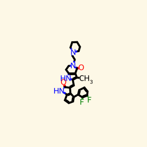 Cc1c(C=C2C(=O)Nc3cccc(-c4cccc(F)c4F)c32)[nH]c2c1C(=O)N(CCN1CCCCC1)CC2